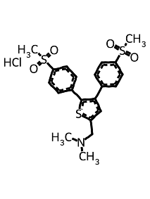 CN(C)Cc1cc(-c2ccc(S(C)(=O)=O)cc2)c(-c2ccc(S(C)(=O)=O)cc2)s1.Cl